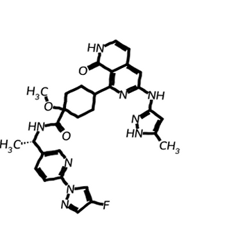 COC1(C(=O)N[C@@H](C)c2ccc(-n3cc(F)cn3)nc2)CCC(c2nc(Nc3cc(C)[nH]n3)cc3cc[nH]c(=O)c23)CC1